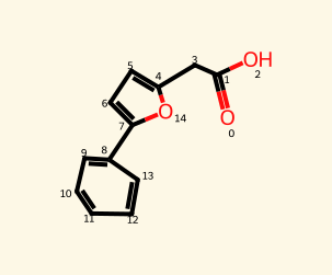 O=C(O)Cc1ccc(-c2ccccc2)o1